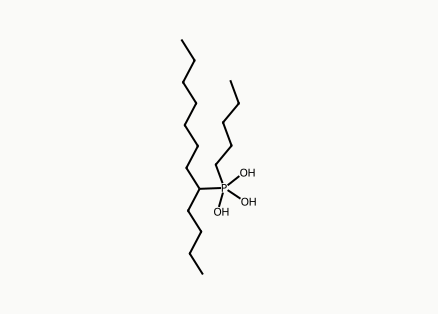 CCCCCCCC(CCCC)P(O)(O)(O)CCCCC